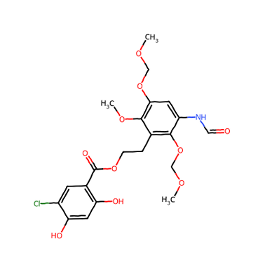 COCOc1cc(NC=O)c(OCOC)c(CCOC(=O)c2cc(Cl)c(O)cc2O)c1OC